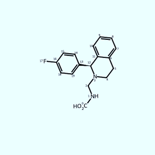 O=C(O)NCN1CCc2ccccc2[C@@H]1c1ccc(F)cc1